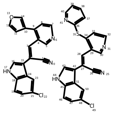 N#CC(=Cc1cnccc1-c1ccoc1)c1c[nH]c2ccc(Cl)cc12.N#CC(=Cc1cnccc1Sc1ccccn1)c1c[nH]c2ccc(Cl)cc12